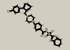 O=C(NS(=O)(=O)c1nc2ccccc2s1)c1ccc(N2CCN(Cc3ccccc3-c3ccc(Cl)cc3)CC2)cc1